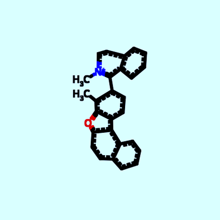 Cc1c(-c2c3ccccc3cc[n+]2C)ccc2c1oc1ccc3ccccc3c12